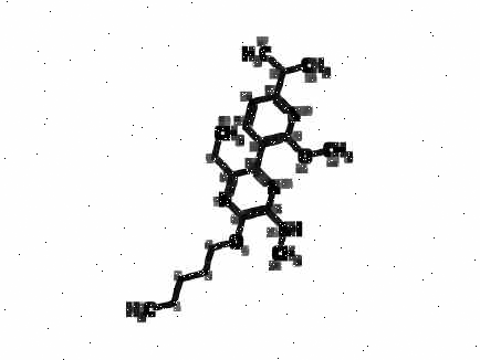 CCCCCOc1nc(CC)c(-c2ccc(C(C)C)nc2OC)nc1NC